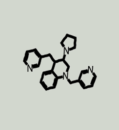 c1cncc(CC2c3ccccc3N(Cc3cccnc3)CC2N2CCCC2)c1